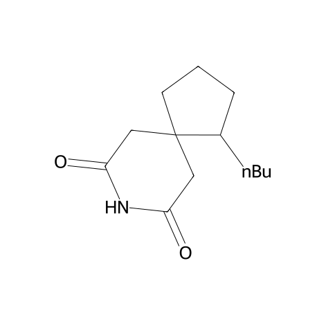 CCCCC1CCCC12CC(=O)NC(=O)C2